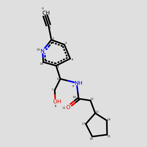 C#Cc1ccc(C(CO)NC(=O)CC2CCCC2)cn1